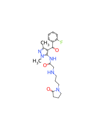 Cc1nn(C)c(NC(=O)CNCCCN2CCCC2=O)c1C(=O)c1ccccc1F